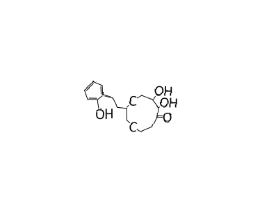 O=C1CCCCC(CCc2ccccc2O)CCC(O)C1O